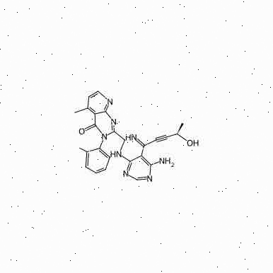 Cc1ccccc1-n1c(CNc2ncnc(N)c2C(=N)C#C[C@@H](C)O)nc2nccc(C)c2c1=O